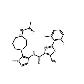 CC(=O)N[C@@H]1CCCN(c2c(NC(=O)c3nc(-c4c(F)cccc4F)sc3N)cnn2C)CC1